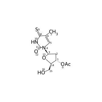 CC(=O)O[C@H]1C[C@H](n2cc(C)c(=S)[nH]c2=O)O[C@@H]1CO